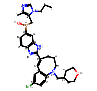 CCCn1cnc(C)c1C[S+]([O-])c1ccc2nc(/C3=C/c4cc(Br)ccc4N(CC4CCOCC4)CCC3)[nH]c2c1